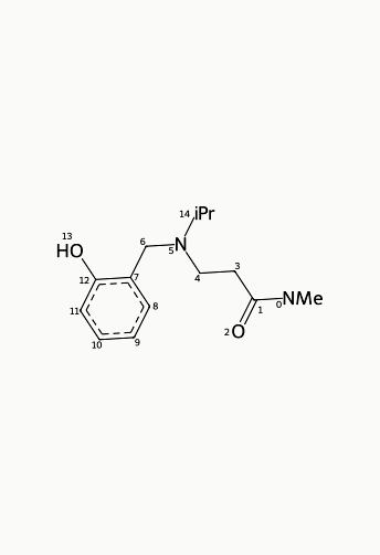 CNC(=O)CCN(Cc1ccccc1O)C(C)C